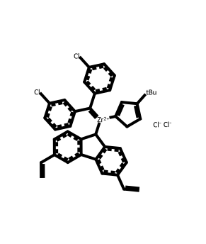 C=Cc1ccc2c(c1)-c1cc(C=C)ccc1[CH]2[Zr+2]([C]1=CC(C(C)(C)C)=CC1)=[C](c1cccc(Cl)c1)c1cccc(Cl)c1.[Cl-].[Cl-]